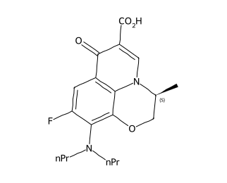 CCCN(CCC)c1c(F)cc2c(=O)c(C(=O)O)cn3c2c1OC[C@@H]3C